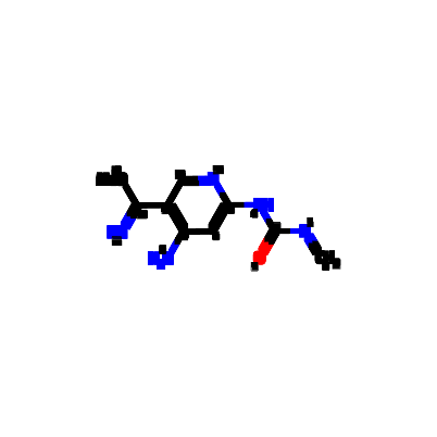 C=NC(=O)Nc1cc(N)c(C(=N)OC)cn1